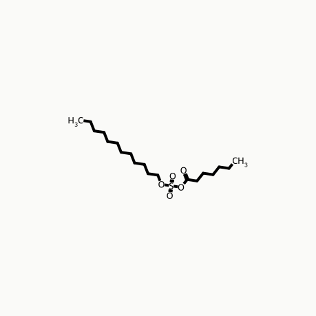 CCCCCCCCCCCCOS(=O)(=O)OC(=O)CCCCCC